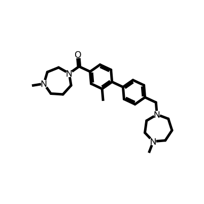 Cc1cc(C(=O)N2CCCN(C)CC2)ccc1-c1ccc(CN2CCCN(C)CC2)cc1